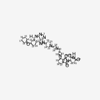 Nc1ncnc2c1c(-c1ccc(Oc3ccccc3)cc1)nn2C1CCN(C2CN(CC3CN(c4cccc5c4C(=O)N(C4CCC(=O)NC4=O)C5=O)C3)C2)CC1